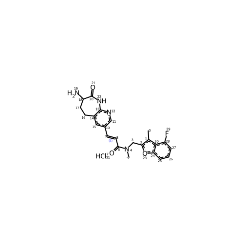 Cc1c(CN(C)C(=O)/C=C/c2cnc3c(c2)CCC(N)C(=O)N3)oc2cccc(F)c12.Cl